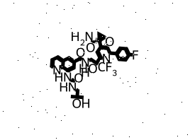 CC(C)(O)CNC(=O)Nc1cc(C(=O)NCC(O)(c2cc3c(c(-c4ccc(F)cc4)n2)OC2C[C@@]32C(N)=O)C(F)(F)F)cc2cccnc12